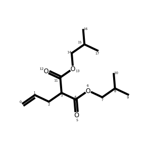 C=CCC(C(=O)OCC(C)C)C(=O)OCC(C)C